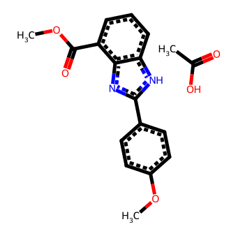 CC(=O)O.COC(=O)c1cccc2[nH]c(-c3ccc(OC)cc3)nc12